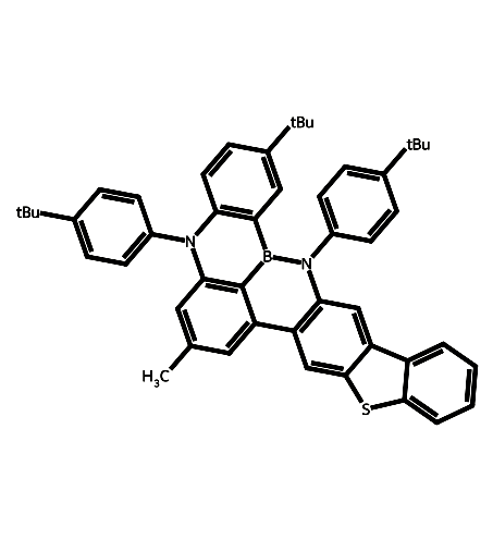 Cc1cc2c3c(c1)N(c1ccc(C(C)(C)C)cc1)c1ccc(C(C)(C)C)cc1B3N(c1ccc(C(C)(C)C)cc1)c1cc3c(cc1-2)sc1ccccc13